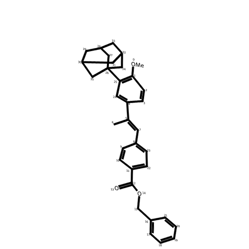 COc1ccc(C(C)=Cc2ccc(C(=O)OCc3ccccc3)cc2)cc1C12CC3CC(CC(C3)C1)C2